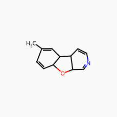 CC1=CC2C(C=C1)OC1C=NC=CC12